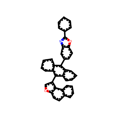 c1ccc(-c2nc3cc(-c4c5ccccc5c(-c5coc6ccc7ccccc7c56)c5ccccc45)ccc3o2)cc1